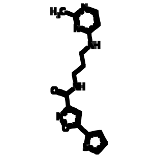 Cc1nccc(NCCCNC(=O)c2cc(-c3cccs3)on2)n1